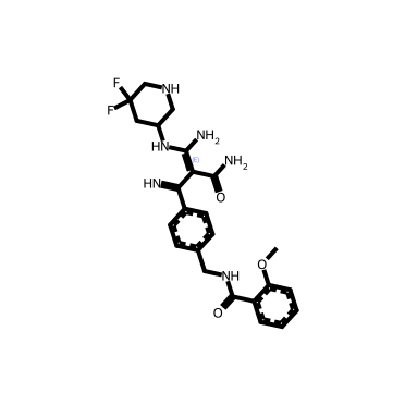 COc1ccccc1C(=O)NCc1ccc(C(=N)/C(C(N)=O)=C(/N)NC2CNCC(F)(F)C2)cc1